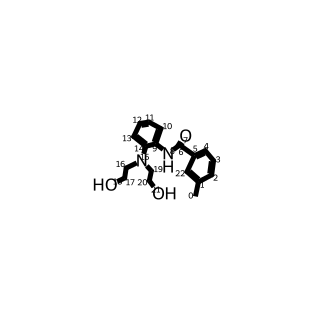 Cc1cccc(C(=O)Nc2ccccc2N(CCO)CCO)c1